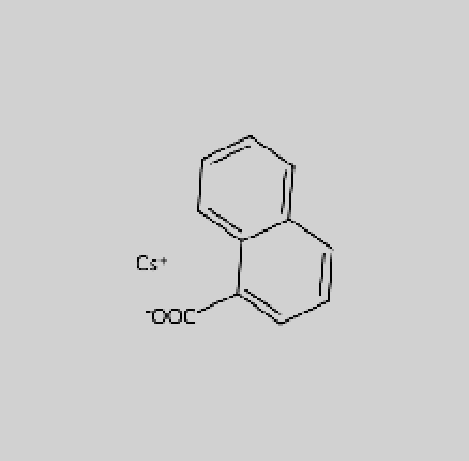 O=C([O-])c1cccc2ccccc12.[Cs+]